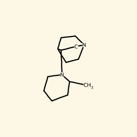 CC1CCCCN1C1CN2CCC1CC2